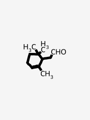 CC1=CCCC(C)(C)C1CC=O